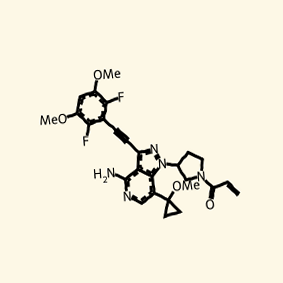 C=CC(=O)N1CCC(n2nc(C#Cc3c(F)c(OC)cc(OC)c3F)c3c(N)ncc(C4(OC)CC4)c32)C1